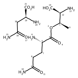 C[C@@H](OC(=O)[C@@H](N)CCC(N)=O)[C@H](N)C(=O)O.NC(=O)C[C@H](N)C(=O)O